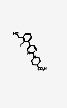 O=C(O)C1CCN(c2ncc(-c3cccc(CO)c3F)cn2)CC1